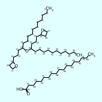 CCCCCCCCCCCC(CCCC1CCO1)OC(CCCCCCCCCCC)CCCC1CCO1.CCCCCCCCCCCCCCCCCC(=O)O